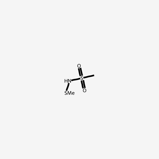 CSNS(C)(=O)=O